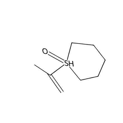 C=C(C)[SH]1(=O)CCCCC1